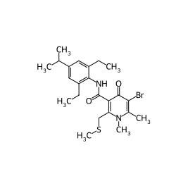 CCc1cc(C(C)C)cc(CC)c1NC(=O)c1c(CSC)n(C)c(C)c(Br)c1=O